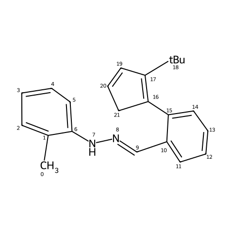 Cc1ccccc1NN=Cc1ccccc1C1=C(C(C)(C)C)C=CC1